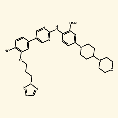 COc1cc(N2CCC(N3CCOCC3)CC2)ccc1Nc1ncc(-c2ccc(C#N)c(OCCCn3ncnn3)c2)cn1